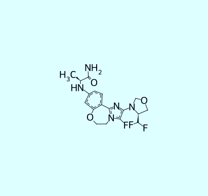 C[C@H](Nc1ccc2c(c1)OCCn1c-2nc(N2COC[C@H]2C(F)F)c1F)C(N)=O